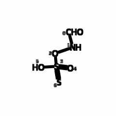 O=CNOS(=O)(O)=S